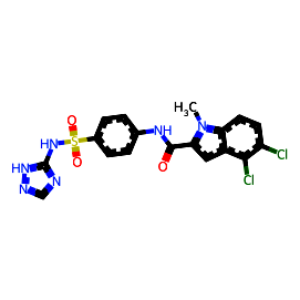 Cn1c(C(=O)Nc2ccc(S(=O)(=O)Nc3ncn[nH]3)cc2)cc2c(Cl)c(Cl)ccc21